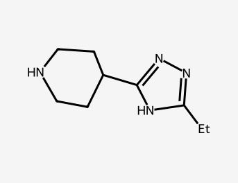 [CH2]Cc1nnc(C2CCNCC2)[nH]1